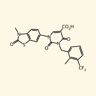 Cc1c(Cn2c(=O)c(C(=O)O)cn(-c3ccc4c(c3)sc(=O)n4C)c2=O)cccc1C(F)(F)F